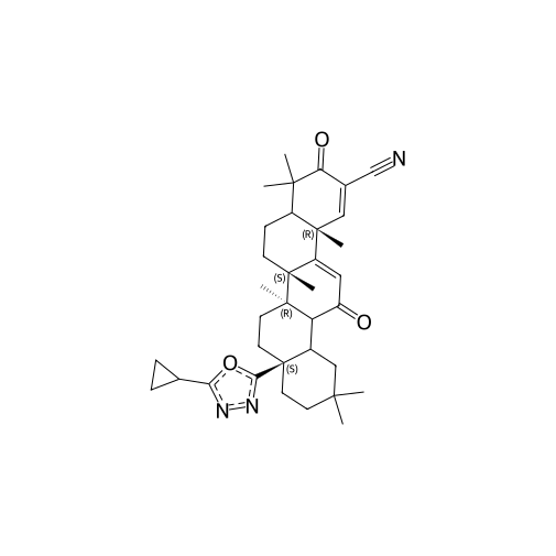 CC1(C)CC[C@]2(c3nnc(C4CC4)o3)CC[C@]3(C)C(C(=O)C=C4[C@@]5(C)C=C(C#N)C(=O)C(C)(C)C5CC[C@]43C)C2C1